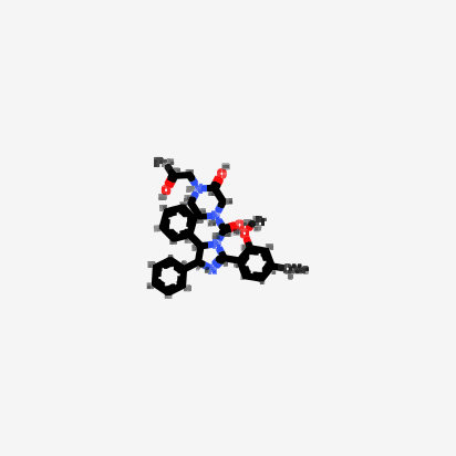 COc1ccc(C2=NC(c3ccccc3)C(c3ccccc3)N2C(=O)N2CCN(CC(=O)C(C)C)C(=O)C2)c(OC(C)C)c1